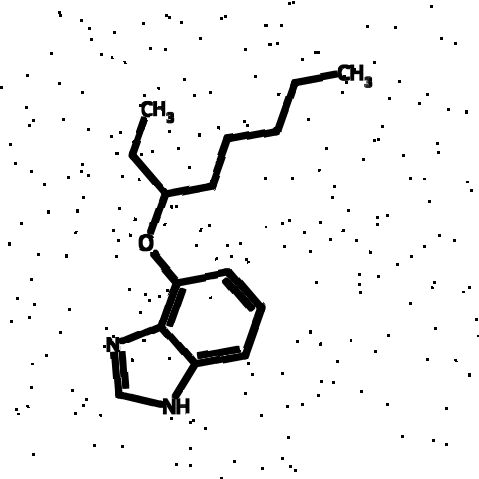 CCCCCC(CC)Oc1cccc2[nH]cnc12